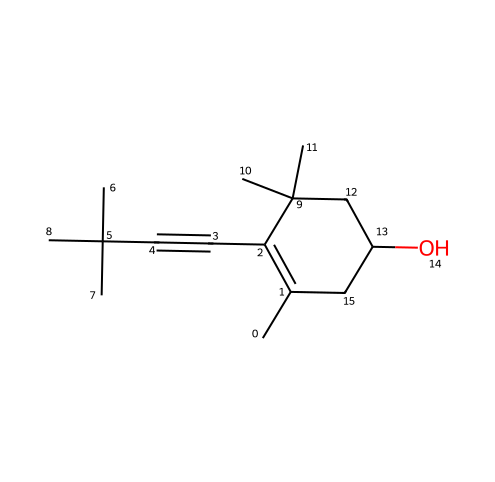 CC1=C(C#CC(C)(C)C)C(C)(C)CC(O)C1